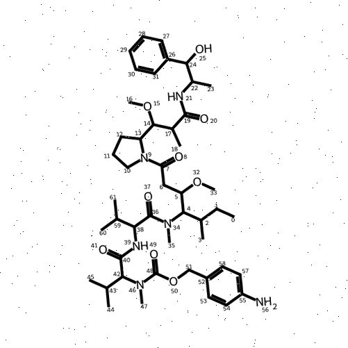 CCC(C)C(C(CC(=O)N1CCCC1C(OC)C(C)C(=O)NC(C)C(O)c1ccccc1)OC)N(C)C(=O)C(NC(=O)C(C(C)C)N(C)C(=O)OCc1ccc(N)cc1)C(C)C